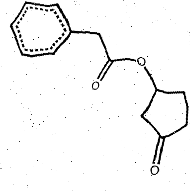 O=C1CCC(OC(=O)Cc2ccccc2)C1